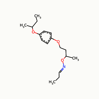 CC/C=N/OC(C)CCOc1ccc(OC(C)CC)cc1